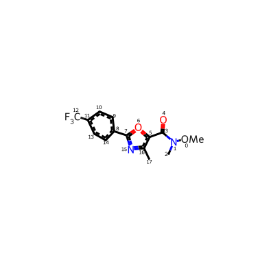 CON(C)C(=O)c1oc(-c2ccc(C(F)(F)F)cc2)nc1C